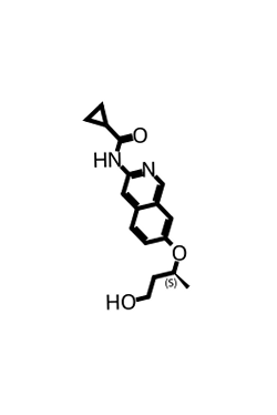 C[C@@H](CCO)Oc1ccc2cc(NC(=O)C3CC3)ncc2c1